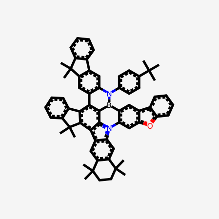 CC(C)(C)c1ccc(N2B3c4cc5c(cc4-n4c6cc7c(cc6c6c8c(c(c3c64)-c3cc4c(cc32)-c2ccccc2C4(C)C)-c2ccccc2C8(C)C)C(C)(C)CCC7(C)C)oc2ccccc25)cc1